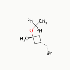 [2H]C([2H])(C)O[C@]1(C)C[C@H](CC(C)C)C1